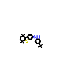 CC(C)(C)c1ccc(Nc2ccc3c4c(sc3c2)C(C)(C)CCC4(C)C)cc1